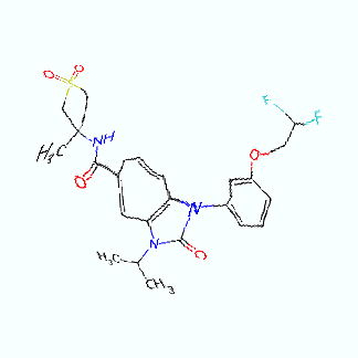 CC(C)n1c(=O)n(-c2cccc(OCC(F)F)c2)c2ccc(C(=O)NC3(C)CS(=O)(=O)C3)cc21